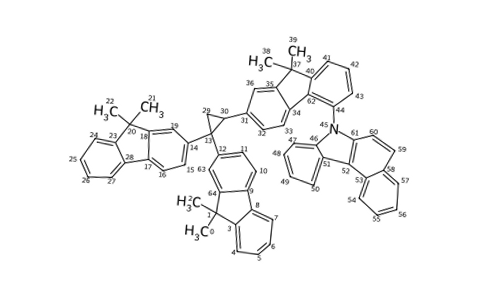 CC1(C)c2ccccc2-c2ccc(C3(c4ccc5c(c4)C(C)(C)c4ccccc4-5)CC3c3ccc4c(c3)C(C)(C)c3cccc(-n5c6ccccc6c6c7ccccc7ccc65)c3-4)cc21